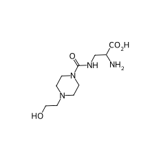 NC(CNC(=O)N1CCN(CCO)CC1)C(=O)O